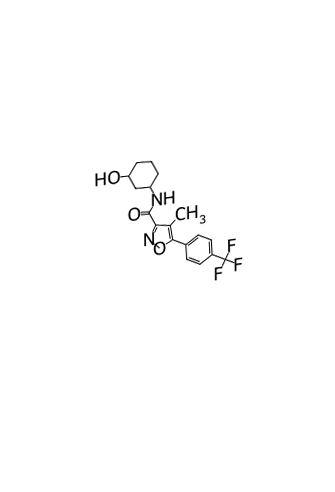 Cc1c(C(=O)NC2CCCC(O)C2)noc1-c1ccc(C(F)(F)F)cc1